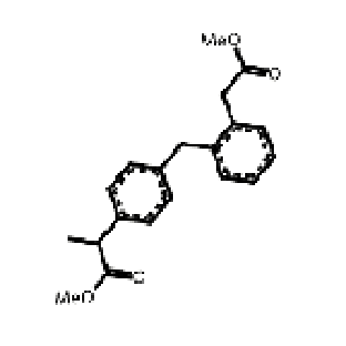 COC(=O)Cc1ccccc1Cc1ccc(C(C)C(=O)OC)cc1